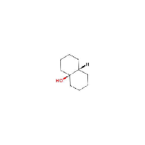 O[C@]12CCCC[C@H]1CCCC2